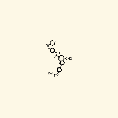 CCCCOC(C)Oc1ccc(-c2ccc3c(c2)C=C(C(=O)Nc2ccc(CN(C)C4CCOCC4)cc2)CCN3C=O)cc1